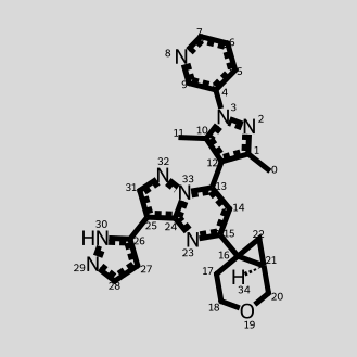 Cc1nn(-c2cccnc2)c(C)c1-c1cc(C23CCOC[C@@H]2C3)nc2c(-c3ccn[nH]3)cnn12